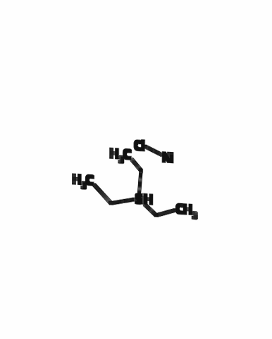 CC[SiH](CC)CC.[Cl][Ni]